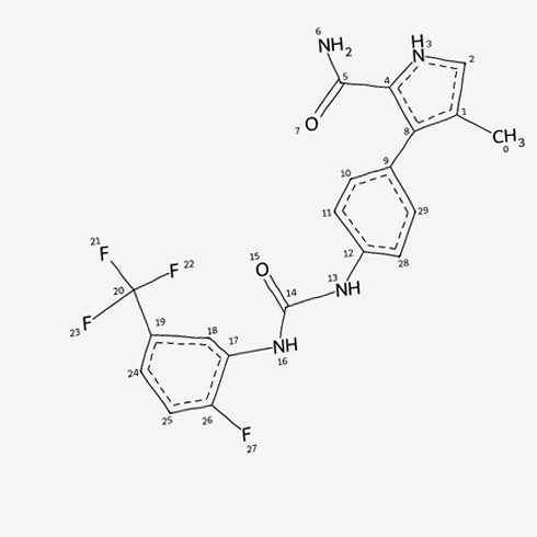 Cc1c[nH]c(C(N)=O)c1-c1ccc(NC(=O)Nc2cc(C(F)(F)F)ccc2F)cc1